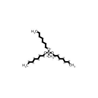 CCCCCCCO[Si](C)(OCCCCCCC)OCCCCCCC